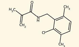 C=C(C)C(=O)NCc1c(C)ccc(C)c1Cl